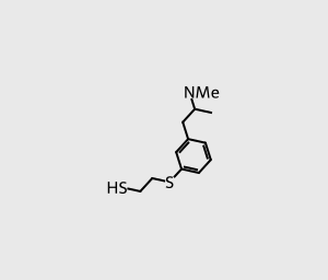 CNC(C)Cc1cccc(SCCS)c1